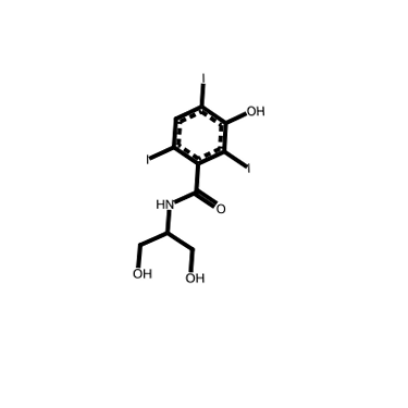 O=C(NC(CO)CO)c1c(I)cc(I)c(O)c1I